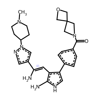 CN1CCC(n2cc(/C(N)=C/c3c(-c4ccc(C(=O)N5CC6(COC6)C5)cc4)c[nH]c3N)cn2)CC1